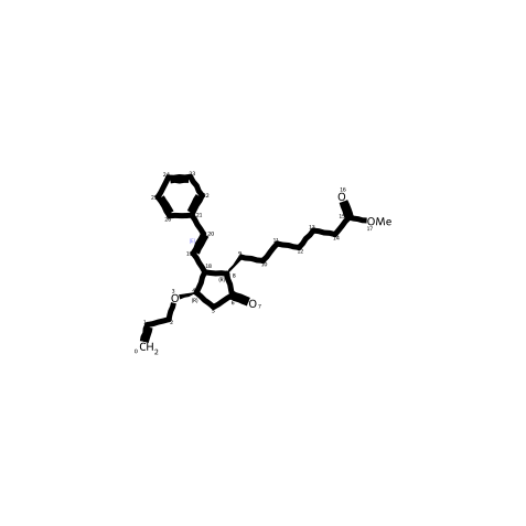 C=CCO[C@@H]1CC(=O)[C@H](CCCCCCC(=O)OC)C1/C=C/c1ccccc1